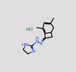 CC1=CC(C)=C2C(=NNC3=NCCN3)CC2C1.Cl